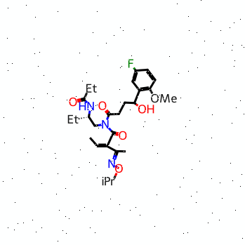 C/C=C(C(=O)N(C[C@H](CC)NC(=O)CC)C(=O)CCC(O)c1cc(F)ccc1OC)/C(C)=N/OC(C)C